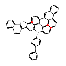 c1ccc(-c2ccc(N(c3ccc4sc5c6ccccc6ccc5c4c3)c3ccccc3-c3ccccc3-c3cc4ccccc4c4ccccc34)cc2)cc1